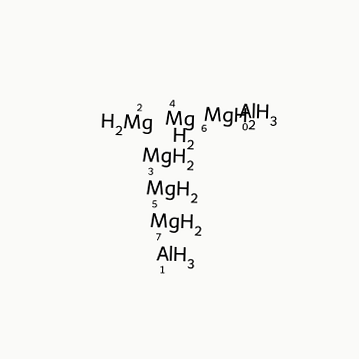 [AlH3].[AlH3].[MgH2].[MgH2].[MgH2].[MgH2].[MgH2].[MgH2]